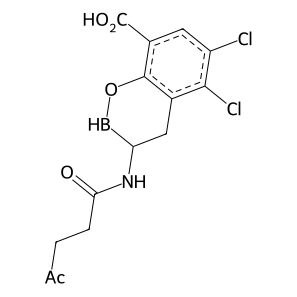 CC(=O)CCC(=O)NC1BOc2c(C(=O)O)cc(Cl)c(Cl)c2C1